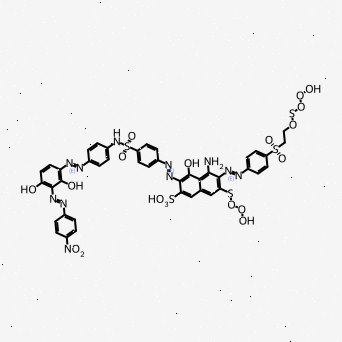 Nc1c(/N=N/c2ccc(S(=O)(=O)CCOSOOO)cc2)c(SOOO)cc2cc(S(=O)(=O)O)c(/N=N/c3ccc(S(=O)(=O)Nc4ccc(/N=N/c5ccc(O)c(N=Nc6ccc([N+](=O)[O-])cc6)c5O)cc4)cc3)c(O)c12